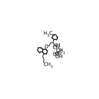 CCCCc1ccc(OCCC(NC)c2cccc(C)c2)c2ccccc12.CS(=O)(=O)O